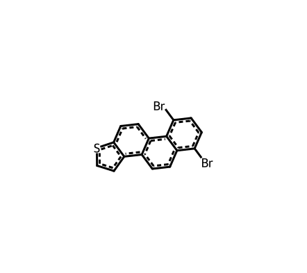 Brc1ccc(Br)c2c1ccc1c3ccsc3ccc12